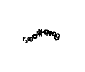 FC(F)(F)Oc1ccc(-n2cnc(-c3ccc(CNOC4CCCCO4)cc3)n2)cc1